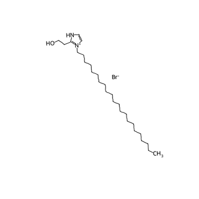 CCCCCCCCCCCCCCCCCCCCCC[n+]1cc[nH]c1CCO.[Br-]